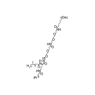 CCCCCCCCCCCCCCCC(=O)NCCOCCOCCNC(=O)CCOCCOCCNC(=O)[C@H](CCCNC(=O)CSC(C)C)NC(=O)CSC(C)I